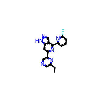 CCc1cncc(-c2cc3[nH]ncc3c(-c3cccc(F)n3)n2)n1